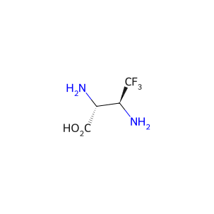 N[C@@H](C(=O)O)[C@H](N)C(F)(F)F